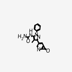 Cc1c(-c2cnc3c(=O)c3c2)nn(-c2ccccc2)c1NC(N)=O